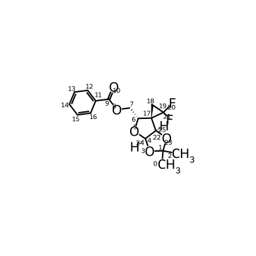 CC1(C)O[C@H]2O[C@H](COC(=O)c3ccccc3)[C@@]3(CC3(F)F)[C@H]2O1